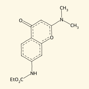 CCOC(=O)Nc1ccc2c(=O)cc(N(C)C)oc2c1